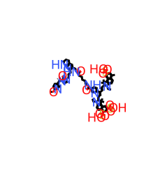 CCN1/C(=C/C=C(/C=C/C2N(CC)c3ccc4c(C)cc(S(=O)(=O)O)cc4c3C2(C)C)c2ccc(C(=O)NCCCCCC(=O)NCc3cc4c(nc3CCCN3CCN([C@@H](C)c5ccc(OC)nc5)C3=O)NCCC4)cn2)C(C)(C)c2c1ccc1c(S(=O)(=O)O)cc(S(=O)(=O)O)cc21